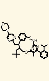 Cc1c2nc(nc1-c1ccccc1C(C)C)NSc1cccc(c1)C(Cc1ncc(N3CCOCC3)cn1)C(CC(C)(C)C)CO2